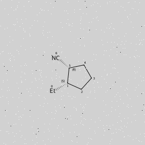 CC[C@H]1CCC[C@H]1C#N